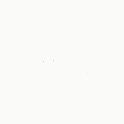 CC1C=CC(c2ccc(-c3nc(-c4ccccc4)nc(-c4ccccc4)n3)cc2)=CN1